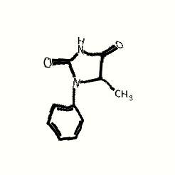 C[C@@H]1C(=O)NC(=O)N1c1ccccc1